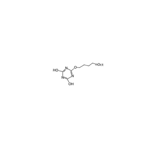 CCCCCCCCCCCCOc1nc(O)nc(O)n1